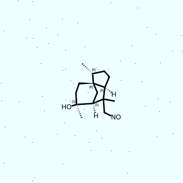 C[C@@H]1CC[C@H]2C(C)(CN=O)[C@@H]3C[C@]12CC[C@]3(C)O